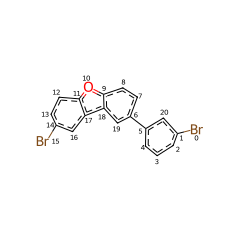 Brc1cccc(-c2ccc3oc4ccc(Br)cc4c3c2)c1